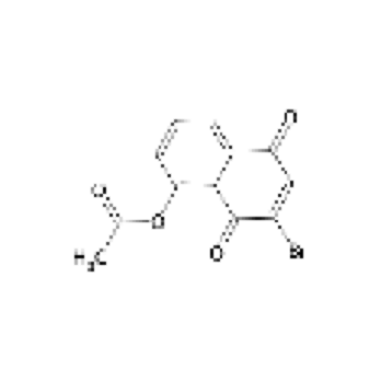 CC(=O)Oc1cccc2c1C(=O)C(Br)=CC2=O